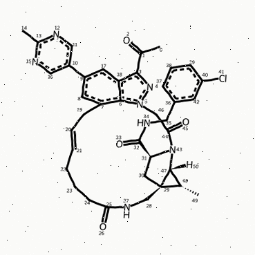 CC(=O)c1nn2c3c(cc(-c4cnc(C)nc4)cc13)C/C=C/CCCC(=O)NC[C@@]13C[C@@H](C(=O)NCc4cccc(Cl)c4)N(C(=O)C2)[C@@H]1[C@@H]3C